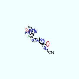 CCN1C(=O)Nc2c(F)c(CN3CCN(c4ccc(C(=O)NCCC#N)nc4C)CC3)cc3ncnc1c23